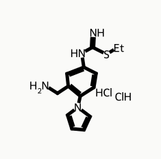 CCSC(=N)Nc1ccc(-n2cccc2)c(CN)c1.Cl.Cl